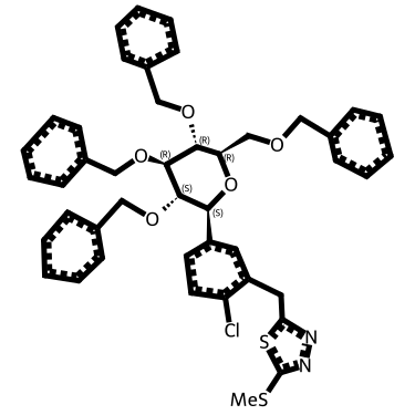 CSc1nnc(Cc2cc([C@@H]3O[C@H](COCc4ccccc4)[C@@H](OCc4ccccc4)[C@H](OCc4ccccc4)[C@H]3OCc3ccccc3)ccc2Cl)s1